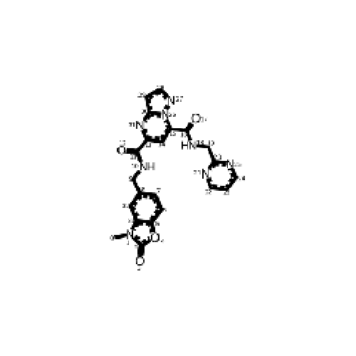 Cn1c(=O)oc2ccc(CNC(=O)c3cc(C(=O)NCc4ncccn4)n4nccc4n3)cc21